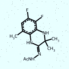 CC(=O)N/N=C1\Nc2c(C)cc(F)c(F)c2NC1(C)C